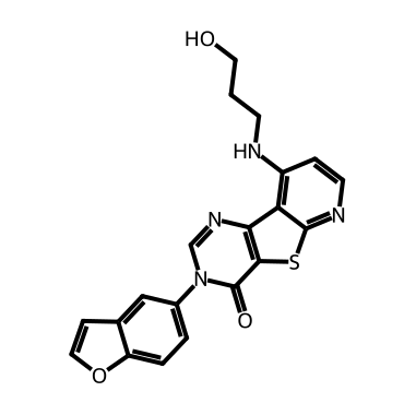 O=c1c2sc3nccc(NCCCO)c3c2ncn1-c1ccc2occc2c1